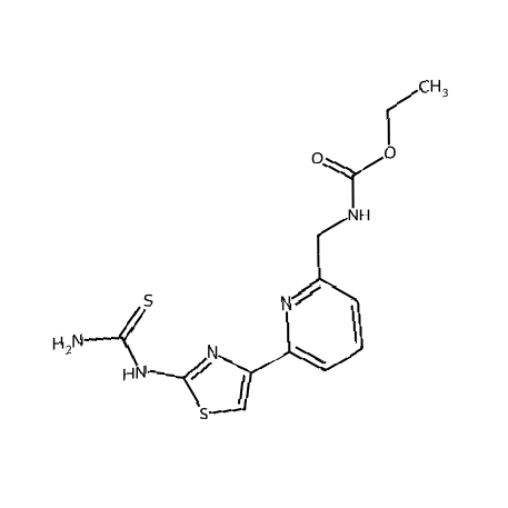 CCOC(=O)NCc1cccc(-c2csc(NC(N)=S)n2)n1